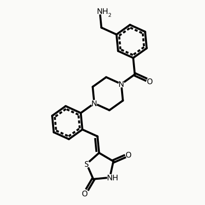 NCc1cccc(C(=O)N2CCN(c3ccccc3/C=C3\SC(=O)NC3=O)CC2)c1